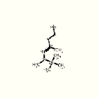 CC(=O)CC/C(C)=N/N(C)[Si](C)(C)C